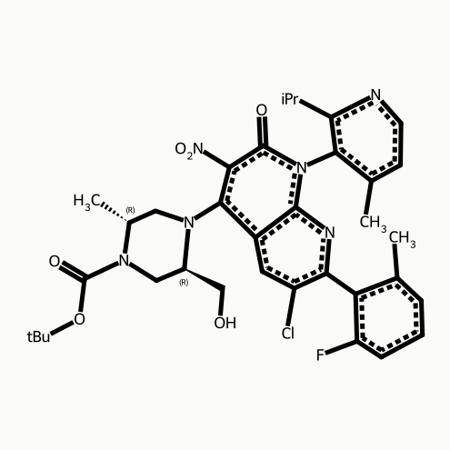 Cc1cccc(F)c1-c1nc2c(cc1Cl)c(N1C[C@@H](C)N(C(=O)OC(C)(C)C)C[C@@H]1CO)c([N+](=O)[O-])c(=O)n2-c1c(C)ccnc1C(C)C